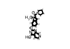 Cn1c(C(=O)N2CCCC2)cc2ccc(Oc3nc(O)c4ccncc4n3)cc21